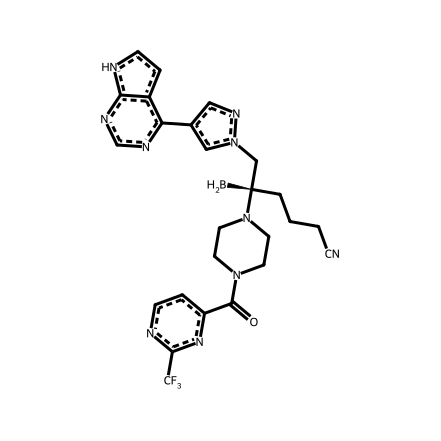 B[C@](CCCC#N)(Cn1cc(-c2ncnc3[nH]ccc23)cn1)N1CCN(C(=O)c2ccnc(C(F)(F)F)n2)CC1